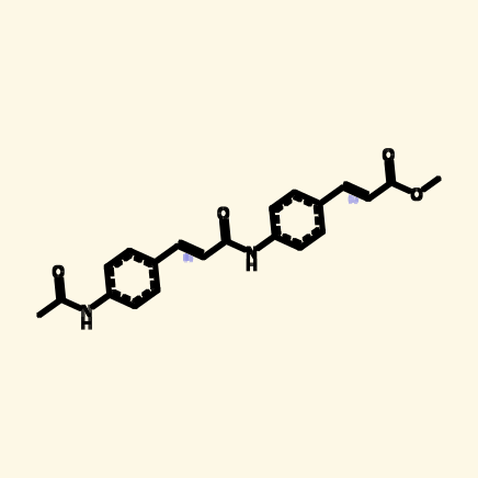 COC(=O)/C=C/c1ccc(NC(=O)/C=C/c2ccc(NC(C)=O)cc2)cc1